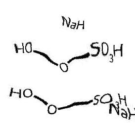 O=S(=O)(O)OO.O=S(=O)(O)OO.[NaH].[NaH]